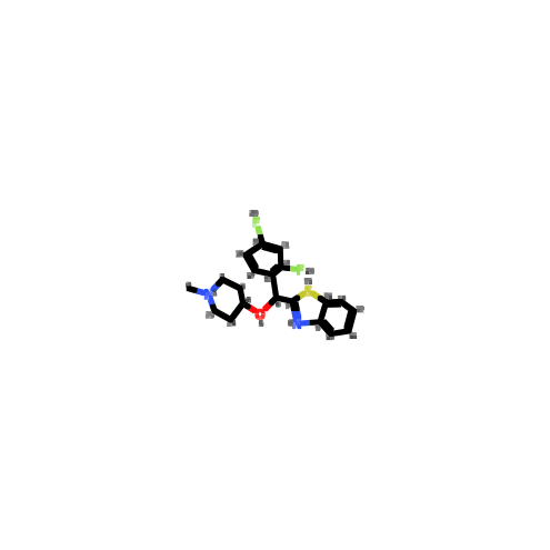 CN1CCC(OC(c2nc3ccccc3s2)c2ccc(F)cc2F)CC1